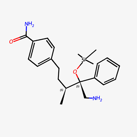 C[C@@H](CCc1ccc(C(N)=O)cc1)[C@](CN)(O[Si](C)(C)C)c1ccccc1